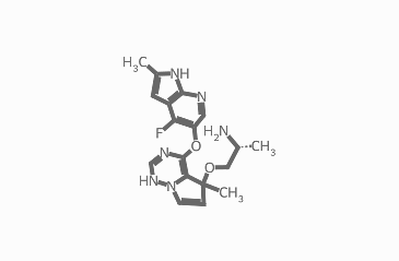 Cc1cc2c(F)c(OC3=C4N(C=CC4(C)OC[C@@H](C)N)NC=N3)cnc2[nH]1